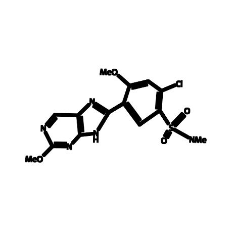 CNS(=O)(=O)c1cc(-c2nc3cnc(OC)nc3[nH]2)c(OC)cc1Cl